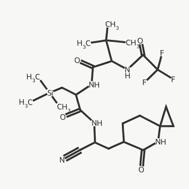 CC(C)(C)C(NC(=O)C(F)(F)F)C(=O)NC(C[Si](C)(C)C)C(=O)NC(C#N)CC1CCC2(CC2)NC1=O